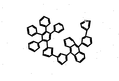 c1ccc(-c2cc(-c3cccc(-c4cccc(-c5c6ccccc6c(-c6cccc(-c7ccncc7)c6)c6ccccc56)c4)c3)c(-c3ccccc3)c(-c3ccccc3)c2-c2ccccc2)cc1